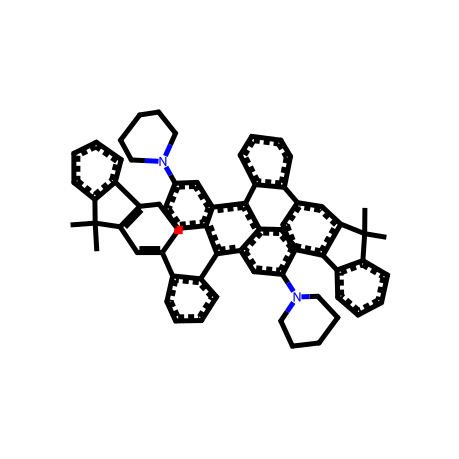 CC1(C)C2=C(CCC(c3ccccc3-c3c4cc(N5CCCCC5)ccc4c(-c4ccccc4-c4ccc5c(c4)C(C)(C)c4ccccc4-5)c4cc(N5CCCCC5)ccc34)=C2)c2ccccc21